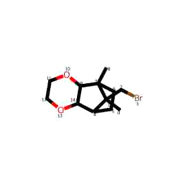 CC1(CBr)C2CCC1(C)C1OCCOC21